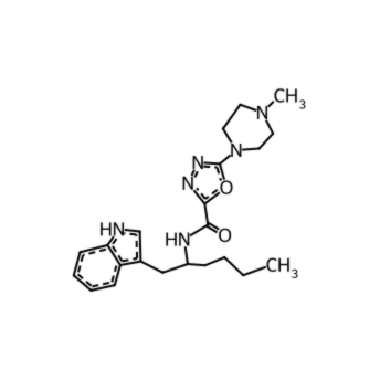 CCCCC(Cc1c[nH]c2ccccc12)NC(=O)c1nnc(N2CCN(C)CC2)o1